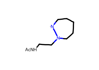 CC(=O)NCCN1CCCCC[N]1